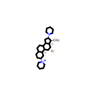 CC(=O)O[C@H]1[C@@H](N2CCCCC2)CC2C3CCC4CC[C@@H]([N+]5(C)CCCCC5)C[C@]4(C)C3CC[C@@]21C.[Br-]